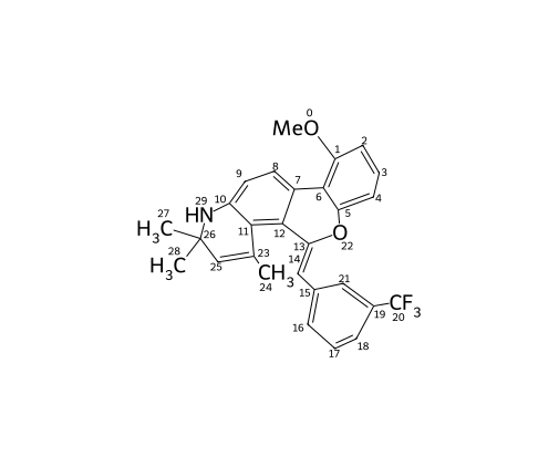 COc1cccc2c1-c1ccc3c(c1C(=Cc1cccc(C(F)(F)F)c1)O2)C(C)=CC(C)(C)N3